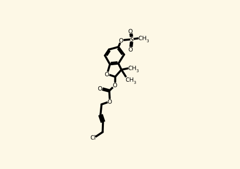 CC1(C)c2cc(OS(C)(=O)=O)ccc2OC1OC(=O)OCC#CCCl